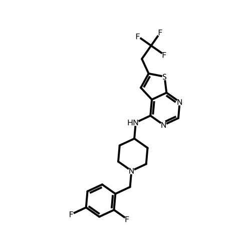 Fc1ccc(CN2CCC(Nc3ncnc4sc(CC(F)(F)F)cc34)CC2)c(F)c1